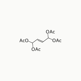 CC(=O)OC(C=CC(OC(C)=O)OC(C)=O)OC(C)=O